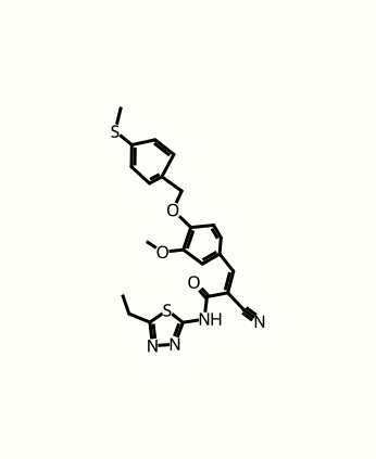 CCc1nnc(NC(=O)C(C#N)=Cc2ccc(OCc3ccc(SC)cc3)c(OC)c2)s1